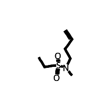 C=CCCN(C)S(=O)(=O)CC